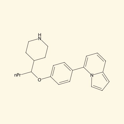 CCCC(Oc1ccc(-c2cccc3cccn23)cc1)C1CCNCC1